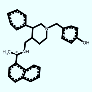 C[C@@H](NCC1CCN(Cc2ccc(O)cc2)CC1c1ccccc1)c1cccc2ccccc12